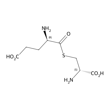 N[C@H](CSC(=O)[C@H](N)CCC(=O)O)C(=O)O